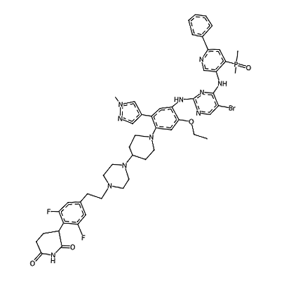 CCOc1cc(N2CCC(N3CCN(CCc4cc(F)c(C5CCC(=O)NC5=O)c(F)c4)CC3)CC2)c(-c2cnn(C)c2)cc1Nc1ncc(Br)c(Nc2cnc(-c3ccccc3)cc2P(C)(C)=O)n1